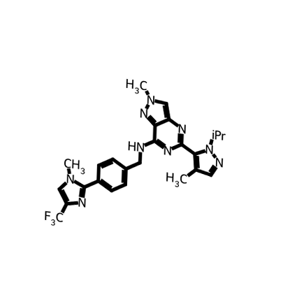 Cc1cnn(C(C)C)c1-c1nc(NCc2ccc(-c3nc(C(F)(F)F)cn3C)cc2)c2nn(C)cc2n1